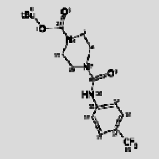 CC(C)(C)OC(=O)N1CCN(C(=O)Nc2ccc(C(F)(F)F)cc2)CC1